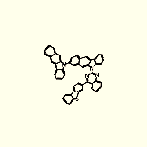 c1ccc2cc3c(cc2c1)c1ccccc1n3-c1ccc2cc3c4ccccc4n(-c4nc(-c5ccc6c(c5)sc5ccccc56)c5ccccc5n4)c3cc2c1